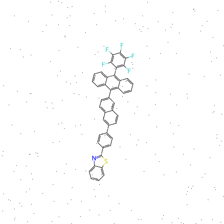 Fc1c(F)c(F)c(-c2c3ccccc3c(-c3ccc4cc(-c5ccc(-c6nc7ccccc7s6)cc5)ccc4c3)c3ccccc23)c(F)c1F